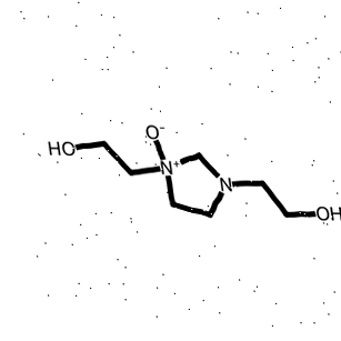 [O-][N+]1(CCO)CCN(CCO)C1